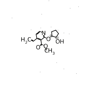 C=Cc1ccnc(O[C@H]2CCC[C@@H]2O)c1C(=O)OC